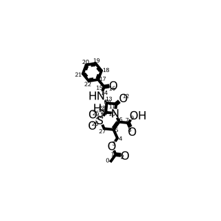 CC(=O)OCC1=C(C(=O)O)N2C(=O)[C@@H](NC(=O)c3ccccc3)[C@@H]2S(=O)(=O)C1